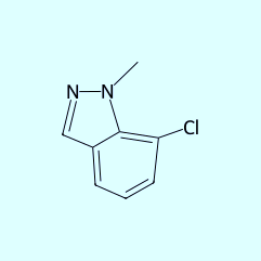 Cn1ncc2cccc(Cl)c21